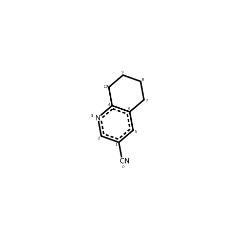 N#Cc1cnc2c(c1)CCCC2